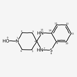 ON1CCC2(CC1)NSc1ccccc1N2